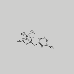 COCN(Cc1cccc(Cl)c1)C[Si](C)(C)C